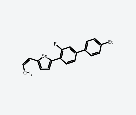 C/C=C\c1ccc(-c2ccc(-c3ccc(CC)cc3)cc2F)[se]1